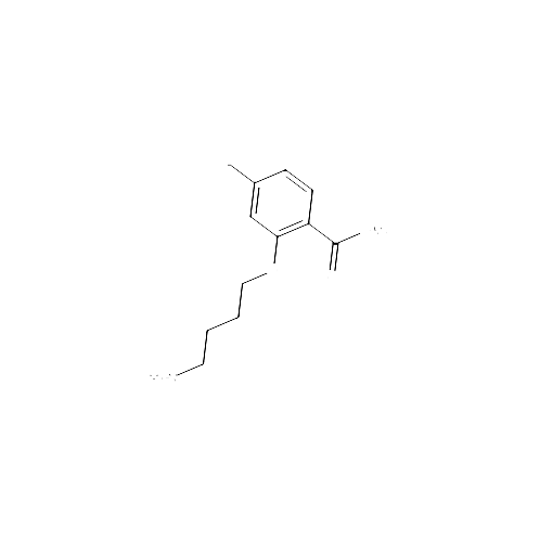 CNCCCCOc1cc(Cl)ccc1C(=O)OC